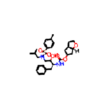 Cc1ccc(S(=O)(=O)N(CC(C)C)C[C@@H](O)[C@H](Cc2ccccc2)NC(=O)OC2CC3CCO[C@@H]3C2)cc1